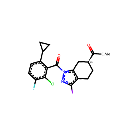 COC(=O)[C@H]1CCc2c(I)nn(C(=O)c3c(C4CC4)ccc(F)c3Cl)c2C1